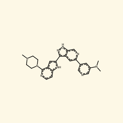 CN1CCN(c2nccc3[nH]c(-c4n[nH]c5cnc(-c6cncc(N(C)C)c6)cc45)cc23)CC1